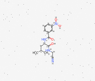 CC(C)CC(NC(=O)c1cccc([N+](=O)[O-])c1)C(=O)NCC#N